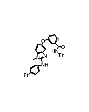 CCNC(=O)c1cc(Oc2ccc3c(c2)nc(Nc2ccc(CC)cc2)n3C)ccn1